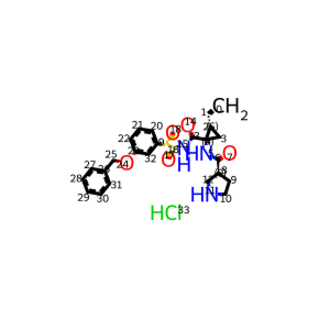 C=C[C@@H]1C[C@]1(NC(=O)[C@H]1CCNC1)C(=O)NS(=O)(=O)c1cccc(OCc2ccccc2)c1.Cl